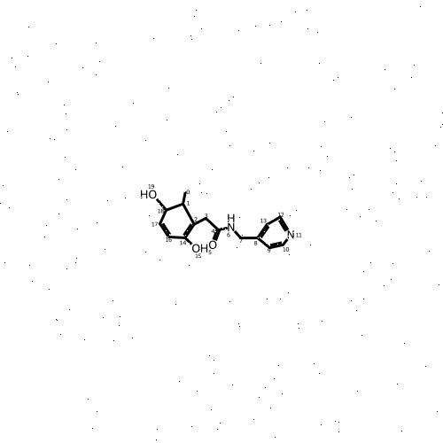 CC1C(CC(=O)NCc2ccncc2)=C(O)C=CC1O